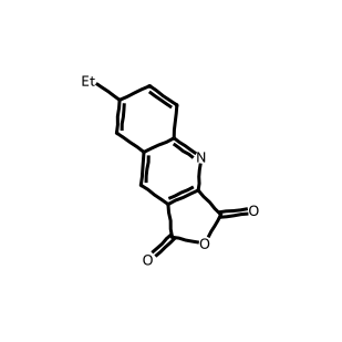 CCc1ccc2nc3c(cc2c1)C(=O)OC3=O